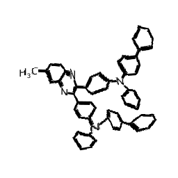 Cc1ccc2nc(-c3ccc(N(c4ccccc4)c4ccc(-c5ccccc5)cc4)cc3)c(-c3ccc(N(c4ccccc4)c4ccc(-c5ccccc5)cc4)cc3)nc2c1